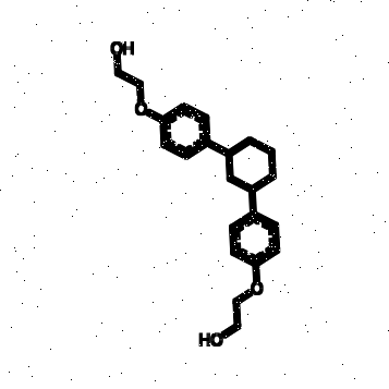 OCCOc1ccc(C2CCCC(c3ccc(OCCO)cc3)C2)cc1